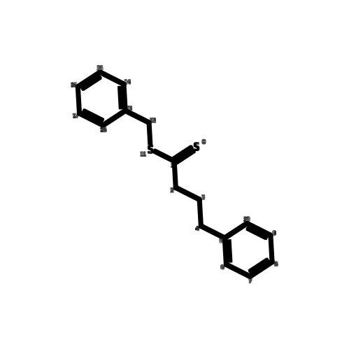 S=C(CCCc1ccccc1)SCc1ccccc1